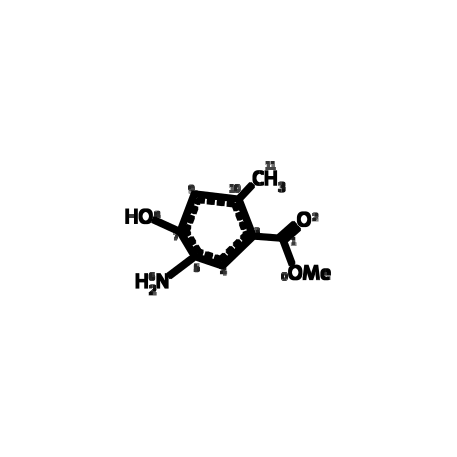 COC(=O)c1cc(N)c(O)cc1C